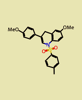 COc1ccc(C2=CN(S(=O)(=O)c3ccc(C)cc3)c3ccc(OC)cc3C2)cc1